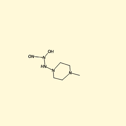 CN1CCN(NN(O)N=O)CC1